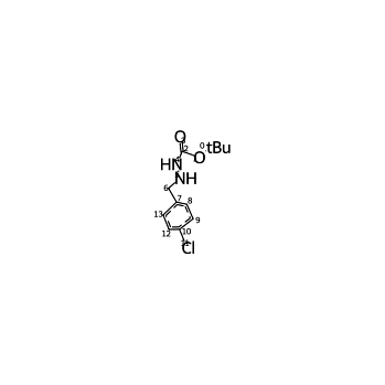 CC(C)(C)OC(=O)NNCc1ccc(Cl)cc1